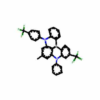 Cc1cc2c3c(c1)N(c1ccccc1)c1cc(C(F)(F)F)ccc1B3c1ccccc1N2c1ccc(C(F)(F)F)cc1